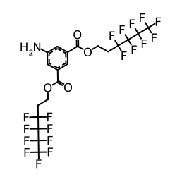 Nc1cc(C(=O)OCCC(F)(F)C(F)(F)C(F)(F)C(F)(F)F)cc(C(=O)OCCC(F)(F)C(F)(F)C(F)(F)C(F)(F)F)c1